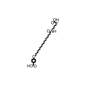 C[C@@H](CCCCNC(=O)CCCCCCCCCCCCCCCOc1ccc(C(=O)O)cc1)C(=O)O